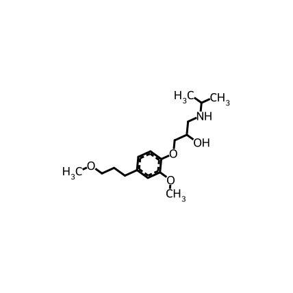 COCCCc1ccc(OCC(O)CNC(C)C)c(OC)c1